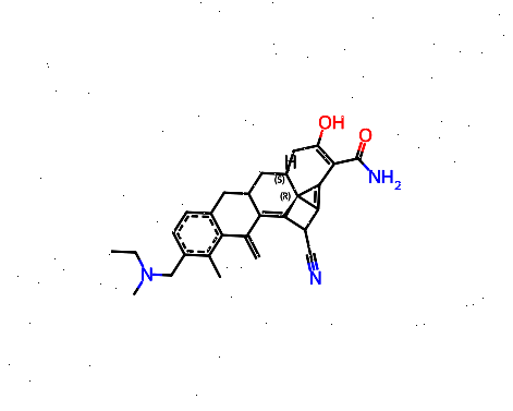 C=C1C2=C3C(C#N)C4=C5C(C(N)=O)=C(O)C[C@H](CC2Cc2ccc(CN(C)CC)c(C)c21)[C@@]534